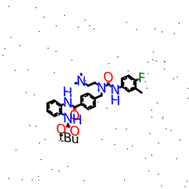 Cc1cc(NC(=O)N(CCN(C)C)Cc2ccc(C(=O)Nc3ccccc3NC(=O)OC(C)(C)C)cc2)ccc1F